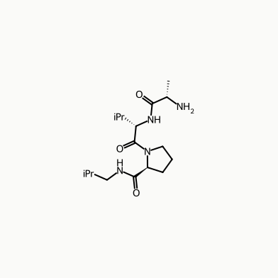 CC(C)CNC(=O)[C@@H]1CCCN1C(=O)[C@@H](NC(=O)[C@H](C)N)C(C)C